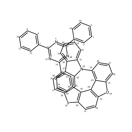 c1ccc(-c2nc(-c3ccccc3)nc(-c3ccc4sc5ccc6oc7cccc(-n8c9ccccc9c9ccccc98)c7c6c5c4c3)n2)cc1